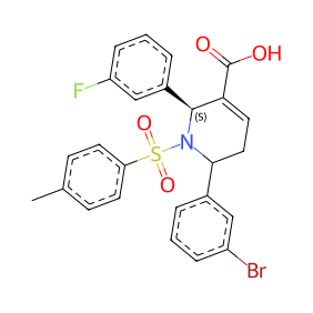 Cc1ccc(S(=O)(=O)N2C(c3cccc(Br)c3)CC=C(C(=O)O)[C@@H]2c2cccc(F)c2)cc1